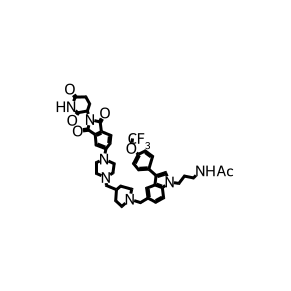 CC(=O)NCCCn1cc(-c2ccc(OC(F)(F)F)cc2)c2cc(CN3CCC(CN4CCN(c5ccc6c(c5)C(=O)N(C5CCC(=O)NC5=O)C6=O)CC4)CC3)ccc21